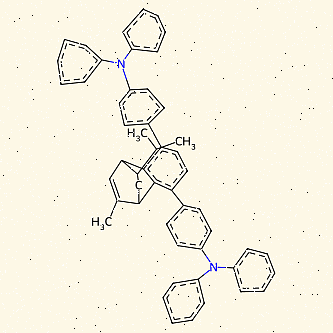 CC1=CC2c3c(-c4ccc(N(c5ccccc5)c5ccccc5)cc4)ccc(-c4ccc(N(c5ccccc5)c5ccccc5)cc4)c3C1CC2C(C)C